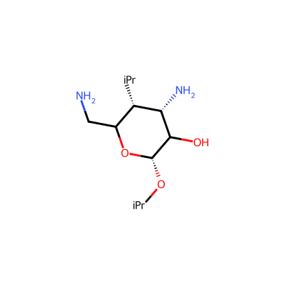 CC(C)O[C@@H]1OC(CN)[C@H](C(C)C)[C@H](N)C1O